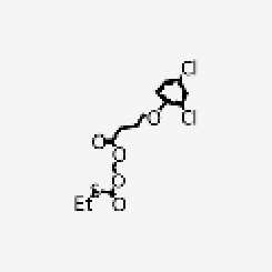 CCSC(=O)OCOC(=O)CCCOc1ccc(Cl)cc1Cl